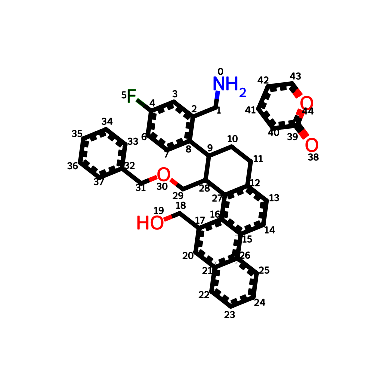 NCc1cc(F)ccc1C1CCc2ccc3c(c(CO)cc4ccccc43)c2C1COCc1ccccc1.O=c1cccco1